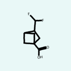 O=C(O)C12CC(C1)C(C(F)F)C2